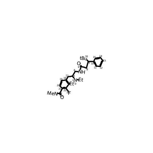 CCN(CC)C(CNC(=O)CC(c1ccccc1)C(C)(C)C)Cc1ccc(C(=O)NC)c(F)c1